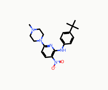 CN1CCN(c2ccc([N+](=O)[O-])c(Nc3ccc(C(C)(C)C)cc3)n2)CC1